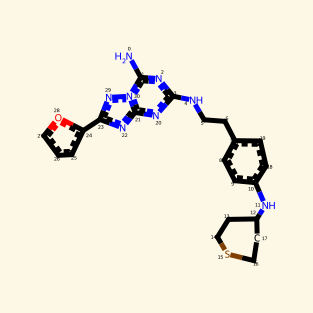 Nc1nc(NCCc2ccc(NC3CCSCC3)cc2)nc2nc(-c3ccco3)nn12